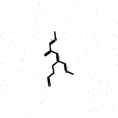 C=C(/C=N/C)/C=C(/C=N/C)CCC=O